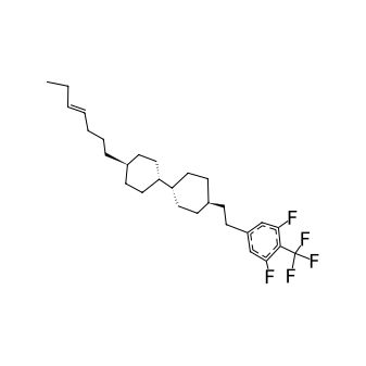 CC/C=C/CCC[C@H]1CC[C@H]([C@H]2CC[C@H](CCc3cc(F)c(C(F)(F)F)c(F)c3)CC2)CC1